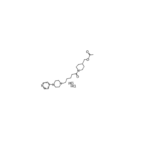 CC(=O)OCC1CCN(C(=O)CCCCN2CCN(c3ccncc3)CC2)CC1.Cl.Cl